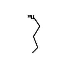 [21Li][CH2]CCC